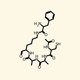 CC(=O)NC(CS)C(=O)NC(C)C(=O)NC(C)C(=O)NC(C=O)CCCCNC(=O)C(N)Cc1ccccc1